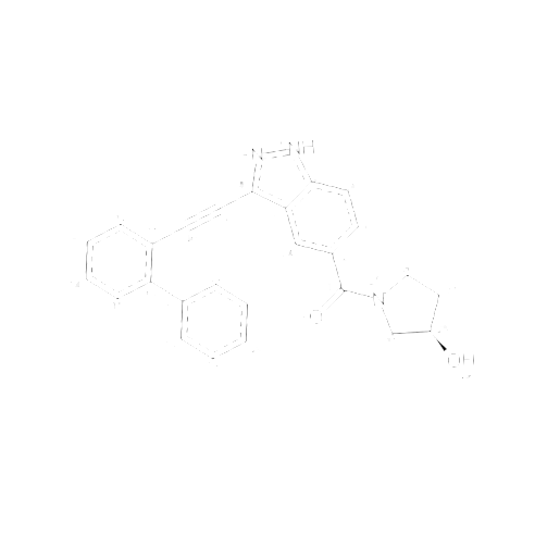 O=C(c1ccc2[nH]nc(C#Cc3ccccc3-c3ccccc3)c2c1)N1CC[C@@H](O)C1